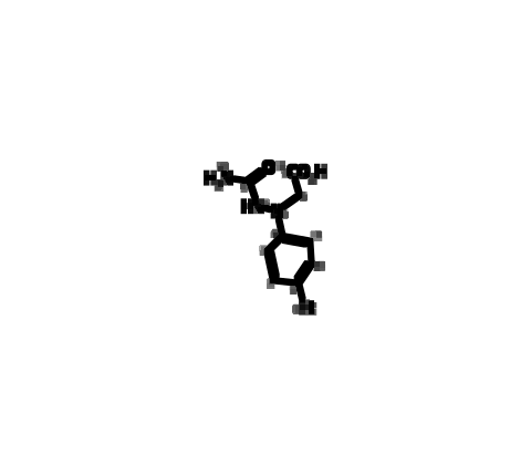 CCc1ccc(N(CC(=O)O)NC(N)=O)cc1